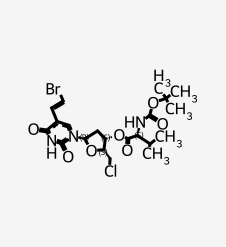 CC(C)[C@H](NC(=O)OC(C)(C)C)C(=O)O[C@H]1C[C@H](n2cc(C=CBr)c(=O)[nH]c2=O)O[C@@H]1CCl